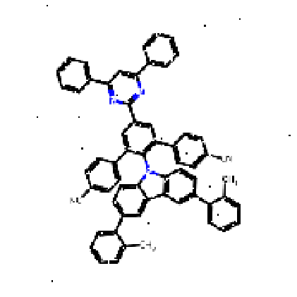 Cc1ccccc1-c1ccc2c(c1)c1cc(-c3ccccc3C)ccc1n2-c1c(-c2ccc(C#N)cc2)cc(-c2nc(-c3ccccc3)cc(-c3ccccc3)n2)cc1-c1ccc(C#N)cc1